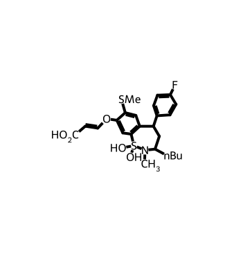 CCCCC1CC(c2ccc(F)cc2)c2cc(SC)c(O/C=C/C(=O)O)cc2S(O)(O)N1C